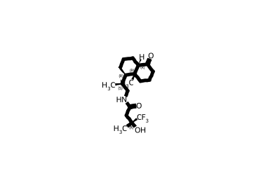 C[C@H](CNC(=O)C[C@@](C)(O)C(F)(F)F)[C@H]1CCC[C@H]2C(=O)CCC[C@]12C